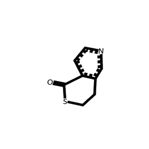 O=C1SCCc2cnccc21